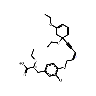 CCOC1=CC=CC(C#C/C=C\COc2ccc(C[C@H](OCC)C(=O)O)cc2Cl)(OCC)C1